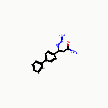 N=NNC(CC(N)=O)c1ccc(-c2ccccc2)cc1